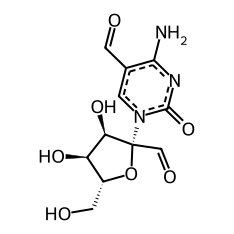 Nc1nc(=O)n([C@]2(C=O)O[C@H](CO)[C@@H](O)[C@H]2O)cc1C=O